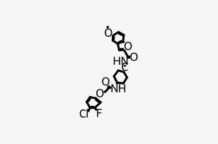 COc1ccc2oc(C(=O)NCC3CCC(NC(=O)COc4ccc(Cl)c(F)c4)CC3)cc2c1